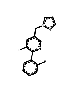 Fc1ccccc1-c1ncc(Cn2cccn2)cc1F